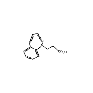 O=C(O)CCN1N=CC=Cc2ccccc21